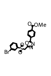 COC(=O)c1ccc(-c2nnc(CS(=O)(=O)c3cccc(Br)c3)o2)cc1